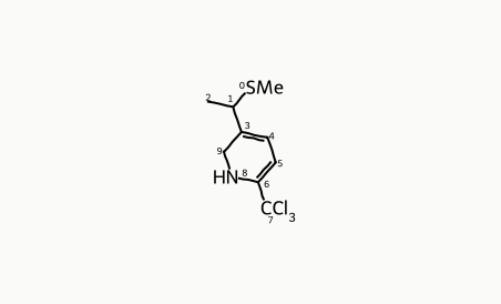 CSC(C)C1=CC=C(C(Cl)(Cl)Cl)NC1